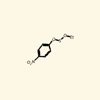 CCOSOc1ccc([N+](=O)[O-])cc1